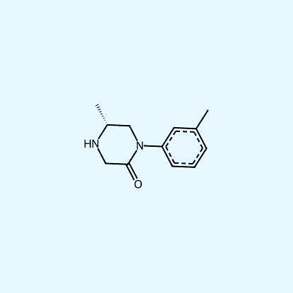 Cc1cccc(N2C[C@@H](C)NCC2=O)c1